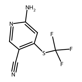 N#Cc1cnc(N)cc1SC(F)(F)F